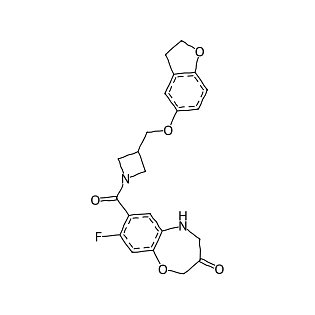 O=C1CNc2cc(C(=O)N3CC(COc4ccc5c(c4)CCO5)C3)c(F)cc2OC1